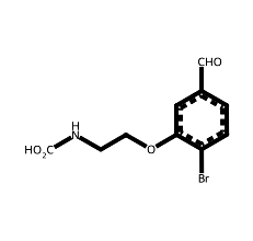 O=Cc1ccc(Br)c(OCCNC(=O)O)c1